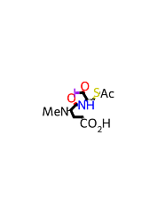 CN[C@@H](CCC(=O)O)C(=O)N[C@@H](CSC(C)=O)C(=O)I